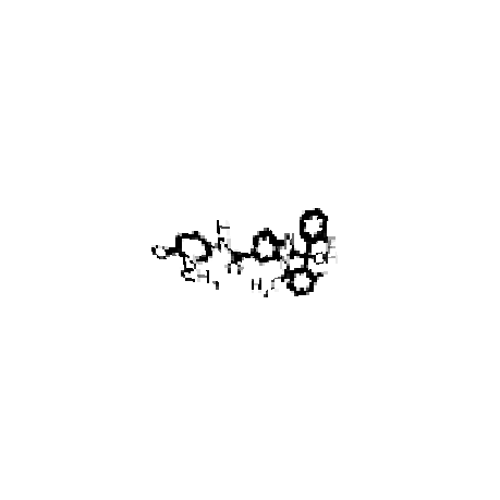 CCn1c(C(O)(c2ccccc2F)c2ccccc2F)nc2ccc(C(=O)N[C@H]3CCC(=O)N(C)C3)cc21